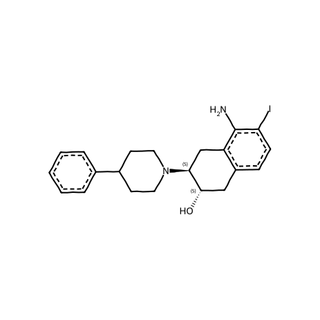 Nc1c(I)ccc2c1C[C@H](N1CCC(c3ccccc3)CC1)[C@@H](O)C2